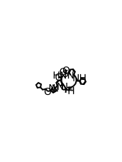 CC1(C)C[C@@H]2CCC(c3ccccc3)Nc3cccc(n3)S(=O)(=O)NC(=O)c3ccc(-n4ccc(OCCC5CCCC5)n4)nc3N1C2